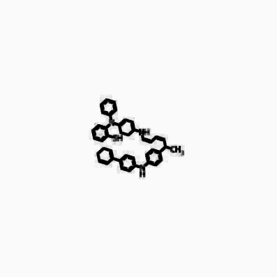 CC(/C=C\C=C/NC1=CC=C(N(c2ccccc2)c2ccccc2S)CC1)c1ccc(Nc2ccc(C3=CCCC=C3)cc2)cc1